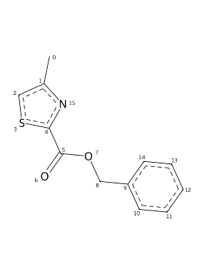 Cc1csc(C(=O)OCc2ccccc2)n1